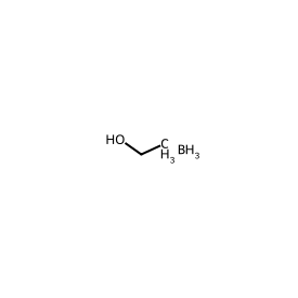 B.CCO